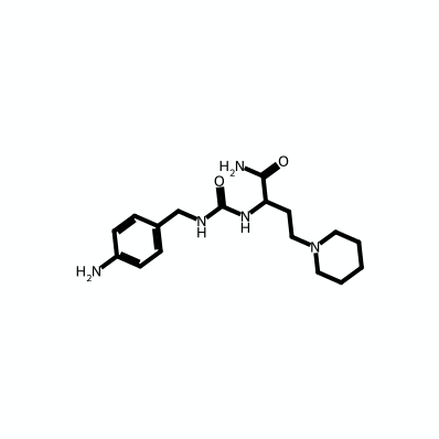 NC(=O)C(CCN1CCCCC1)NC(=O)NCc1ccc(N)cc1